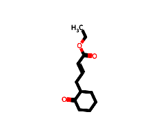 CCOC(=O)C=CCC1CCCCC1=O